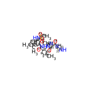 COc1c(NC(=O)c2ccc(C)c(Oc3cc(C(=O)N4CCNCC4)ncn3)c2)cc(C(C)(C)C)cc1NS(C)(=O)=O